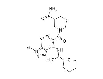 CCn1ncc2c(NC(C)C3CCCCC3)c(C(=O)N3CCCC(C(N)=O)C3)cnc21